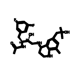 CC(=O)N[C@@H](Cc1cc(F)cc(F)c1)[C@H](O)CNC1CCNc2c(C)cc(CC(C)(C)O)cc21